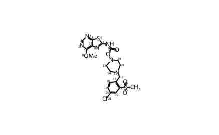 COc1ncnc2sc(NC(=O)ON3CCN(Cc4ccc(Cl)cc4S(C)(=O)=O)CC3)nc12